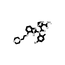 Cc1ccc(Br)cc1N(C(=O)c1nc[nH]c1C(N)=O)c1nc2cccc(OCCN3CCOCC3)c2[nH]1